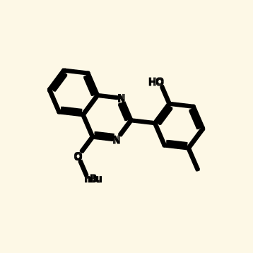 CCCCOc1nc(-c2cc(C)ccc2O)nc2ccccc12